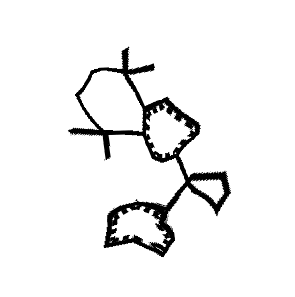 CC1(C)CCC(C)(C)c2cc(C3(c4[c]cccc4)CC3)ccc21